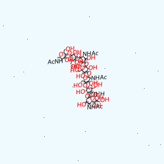 CC(=O)NC1C(C)OC(CO)[C@@H](O[C@@H]2OC(CO)[C@H](O)[C@H](O[C@@H]3OC(CO)[C@@H](O[C@@H]4OC(CO)[C@H](O)[C@H](O[C@@H]5OC(CO)[C@@H](O[C@@H]6OC(CO)[C@H](O)[C@H](O[C@]7(C(=O)O)C[C@@H](O)[C@@H](NC(C)=O)C([C@H](O)[C@H](O)CO)O7)C6O)[C@H](O)C5NC(C)=O)C4O)[C@H](O)C3NC(C)=O)C2O)[C@@H]1O